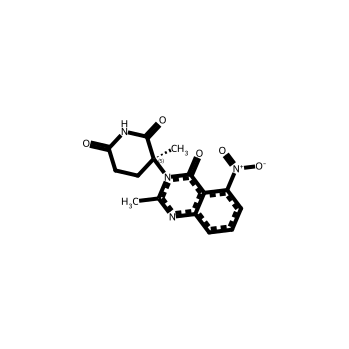 Cc1nc2cccc([N+](=O)[O-])c2c(=O)n1[C@@]1(C)CCC(=O)NC1=O